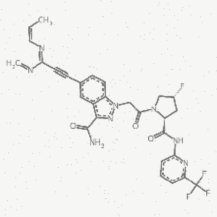 C=N/C(C#Cc1ccc2c(c1)c(C(N)=O)nn2CC(=O)N1C[C@H](F)C[C@H]1C(=O)Nc1cccc(C(F)(F)F)n1)=N\C=C/C